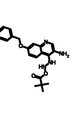 CC(C)(C)C(=O)ONNc1c(N)cnc2cc(OCc3ccccc3)ccc12